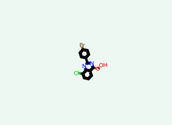 OOc1nc(-c2ccc(Br)cc2)nc2c(Cl)cccc12